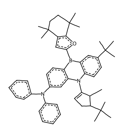 CC1C(N2c3ccc(C(C)(C)C)cc3B(c3cc4c(o3)C(C)(C)CCC4(C)C)c3ccc(N(c4ccccc4)c4ccccc4)cc32)=CCC1C(C)(C)C